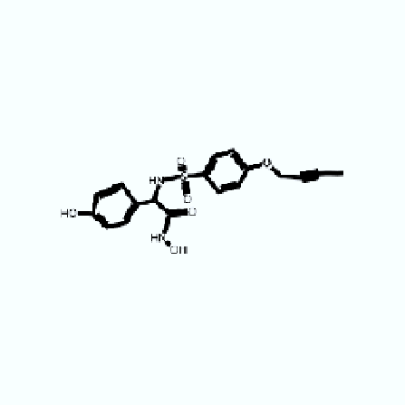 CC#CCOc1ccc(S(=O)(=O)NC(C(=O)NO)c2ccc(O)cc2)cc1